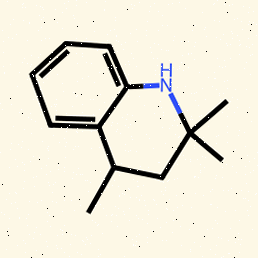 CC1CC(C)(C)Nc2ccccc21